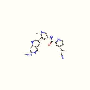 CNc1cc2ncc(-c3cc(NC(=O)c4cc(C(C)(C)C#N)ccn4)cnc3C)cc2cn1